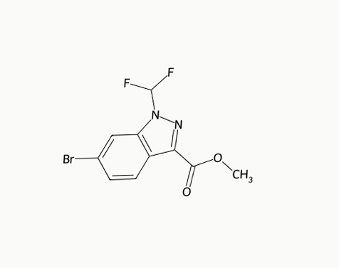 COC(=O)c1nn(C(F)F)c2cc(Br)ccc12